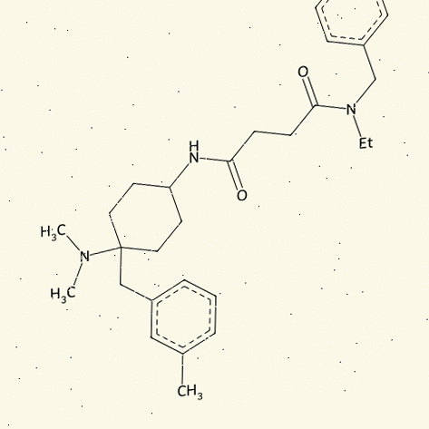 CCN(Cc1ccccc1)C(=O)CCC(=O)NC1CCC(Cc2cccc(C)c2)(N(C)C)CC1